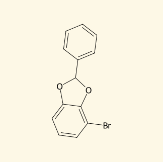 Brc1cccc2c1OC(c1ccccc1)O2